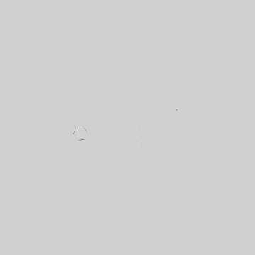 OCCCOCC(F)(F)COC1CC(OCc2ccccc2)C1